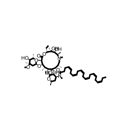 CC/C=C\C/C=C\C/C=C\C/C=C\C/C=C\C/C=C\CCC(=O)N(C)[C@H]1C[C@@H](C)O[C@@H](O[C@@H]2[C@H](C)[C@H](O[C@H]3C[C@@](C)(OC)[C@@H](O)[C@H](C)O3)[C@@H](C)C(=O)O[C@H](CC)[C@@](C)(O)[C@H](O)[C@@H](C)N(C)C[C@H](C)C[C@@]2(C)O)[C@@H]1O